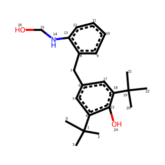 CC(C)(C)c1cc(Cc2ccccc2NCO)cc(C(C)(C)C)c1O